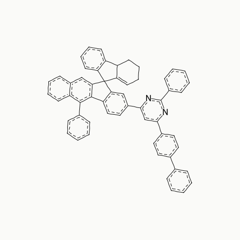 C1=C2C(CCC1)c1ccccc1C21c2cc(-c3cc(-c4ccc(-c5ccccc5)cc4)nc(-c4ccccc4)n3)ccc2-c2c1cc1ccccc1c2-c1ccccc1